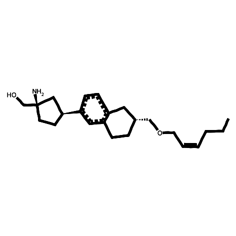 CCC/C=C\COC[C@@H]1CCc2cc([C@H]3CC[C@](N)(CO)C3)ccc2C1